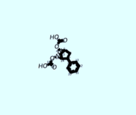 O=C(O)ON1C2CC(c3ccccc3)C(C2)N1OC(=O)O